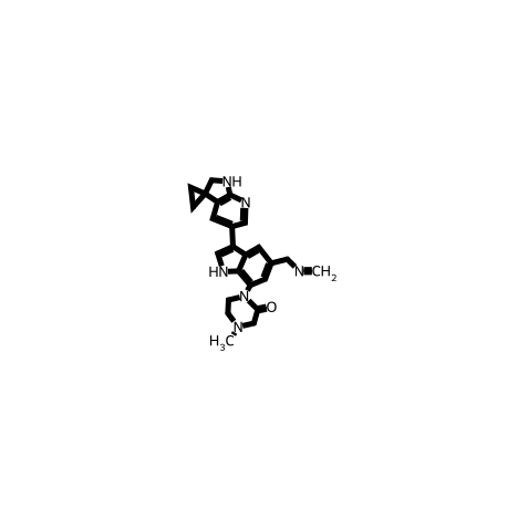 C=NCc1cc(N2CCN(C)CC2=O)c2[nH]cc(-c3cnc4c(c3)C3(CC3)CN4)c2c1